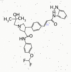 CC(C)(O)CN1CC(C(=O)Nc2ccc(OC(F)F)cc2)C(c2ccc(/C=C/C(=O)Nc3ccccc3N)cc2)C1